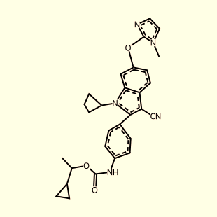 CC(OC(=O)Nc1ccc(-c2c(C#N)c3ccc(Oc4nccn4C)cc3n2C2CCC2)cc1)C1CC1